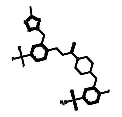 Cc1nnn(Cc2cc(C(F)(F)F)ccc2CCC(=O)N2CCC(Cc3cc(S(N)(=O)=O)ccc3F)CC2)n1